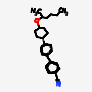 CCCCC(C)O[C@H]1CC[C@H](c2ccc(-c3ccc(C#N)cc3)cc2)CC1